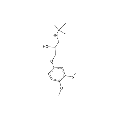 COc1ccc(OCC(O)CNC(C)(C)C)cc1SC